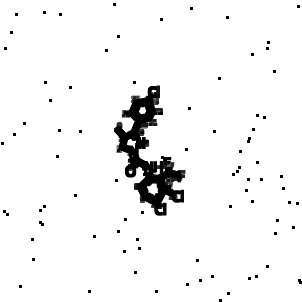 CC1CN(C(=O)Nc2ccc(Cl)c(Cl)c2C(F)F)N=C1c1ccc(Cl)cc1